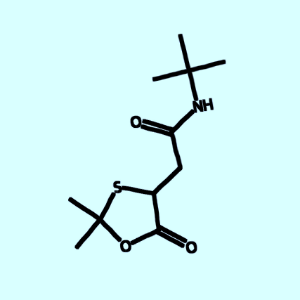 CC(C)(C)NC(=O)CC1SC(C)(C)OC1=O